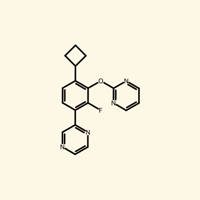 Fc1c(-c2cnccn2)ccc(C2CCC2)c1Oc1ncccn1